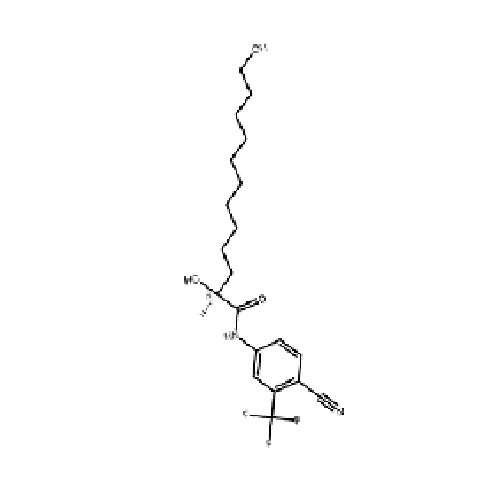 C[C@](O)(CCCCCCCCCCO)C(=O)Nc1ccc(C#N)c(C(F)(F)F)c1